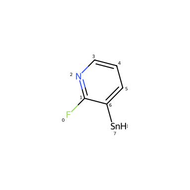 Fc1nccc[c]1[SnH]